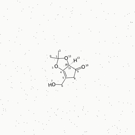 CC1(C)OC2=C(CO)CC(=O)[C@@H]2O1